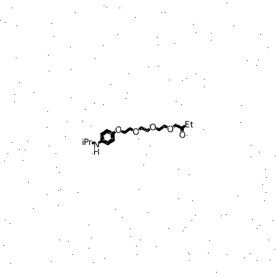 CCC(=O)COCCOCCOCCOc1ccc(NC(C)C)cc1